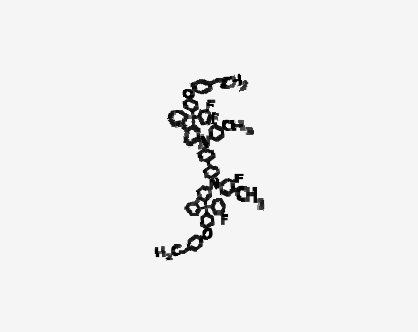 C=Cc1ccc(Oc2ccc(C3(c4cccc(F)c4)c4ccccc4-c4ccc(N(c5ccc(-c6ccc(N(c7ccc(C)c(F)c7)c7ccc8c(c7)[C@](c7ccc(Oc9ccc(C=C)cc9)cc7)(c7cccc(F)c7)c7ccccc7-8)cc6)cc5)c5ccc(C)c(F)c5)cc43)cc2)cc1